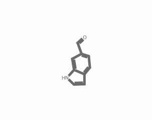 O=[C]c1ccc2cc[nH]c2c1